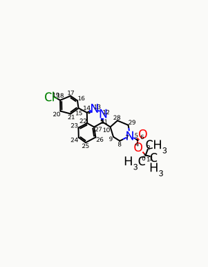 CC(C)(C)OC(=O)N1CCC(c2nnc(-c3ccc(Cl)cc3)c3ccccc23)CC1